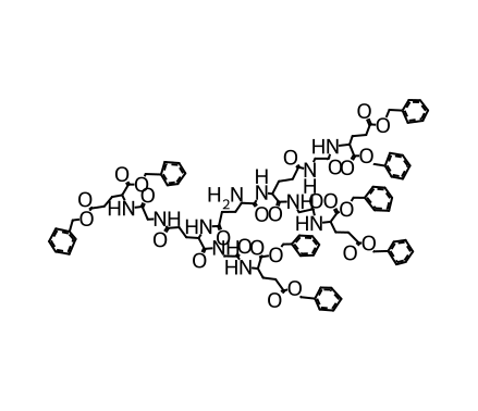 NC(CCC(=O)NC(CCC(=O)NCC(=O)NC(CCC(=O)OCc1ccccc1)C(=O)OCc1ccccc1)C(=O)NCC(=O)NC(CCC(=O)OCc1ccccc1)C(=O)OCc1ccccc1)C(=O)NC(CCC(=O)NCC(=O)NC(CCC(=O)OCc1ccccc1)C(=O)OCc1ccccc1)C(=O)NCC(=O)NC(CCC(=O)OCc1ccccc1)C(=O)OCc1ccccc1